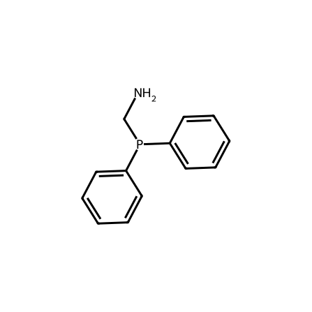 NCP(c1ccccc1)c1ccccc1